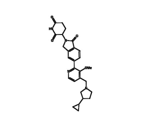 COc1c(CN2CCC(C3CC3)C2)ccnc1-c1ccc2c(c1)CN(C1CCC(=O)NC1=O)C2=O